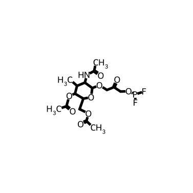 CC(=O)NC1C(OCC(=O)COP(F)F)OC(COC(C)=O)C(OC(C)=O)C1C